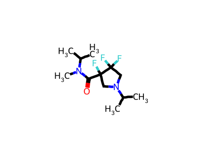 CC(C)N1CC(F)(F)C(F)(C(=O)N(C)C(C)C)C1